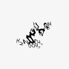 Cc1c(C(N)=O)ccc(-c2ccc(Nc3cncc(N4CCNC4=O)c3)nc2)c1C